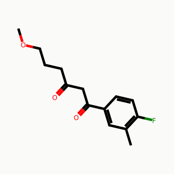 COCCCC(=O)CC(=O)c1ccc(F)c(C)c1